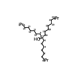 CC(C)CCCCCC[Si](O)(CCCCCCC(C)C)CCCCCCC(C)C